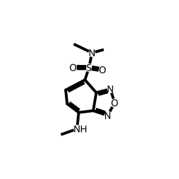 CNc1ccc(S(=O)(=O)N(C)C)c2nonc12